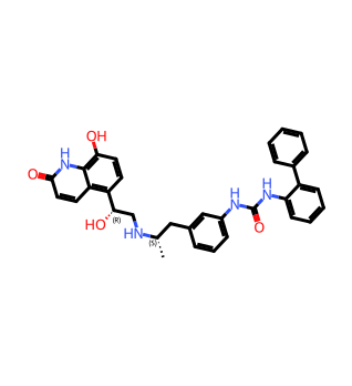 C[C@@H](Cc1cccc(NC(=O)Nc2ccccc2-c2ccccc2)c1)NC[C@H](O)c1ccc(O)c2[nH]c(=O)ccc12